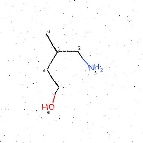 CC(CN)CCO